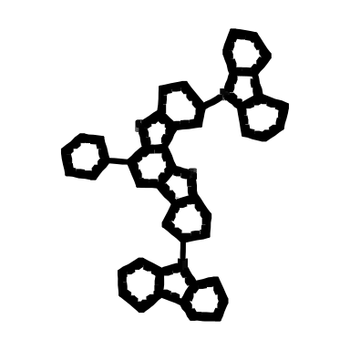 c1ccc(-c2cc3c4cc(-n5c6ccccc6c6ccccc65)ccc4sc3c3c2sc2ccc(-n4c5ccccc5c5ccccc54)cc23)cc1